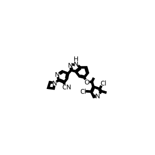 Cc1ncc(Cl)c(C(C)Oc2ccc3[nH]nc(-c4cnc(N5CCC5)c(C#N)c4)c3c2)c1Cl